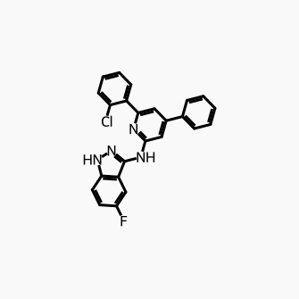 Fc1ccc2[nH]nc(Nc3cc(-c4ccccc4)cc(-c4ccccc4Cl)n3)c2c1